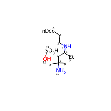 CCCCCCCCCCCCNC(CC)CC(C)(C)N.O=S(=O)(O)O